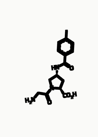 Cc1ccc(C(=O)N[C@@H]2C[C@@H](C(=O)O)N(C(=O)CN)C2)cc1